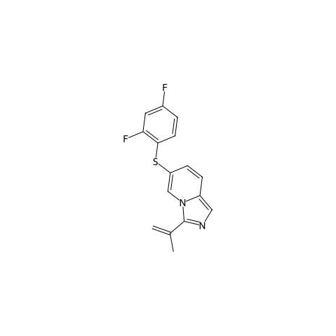 C=C(C)c1ncc2ccc(Sc3ccc(F)cc3F)cn12